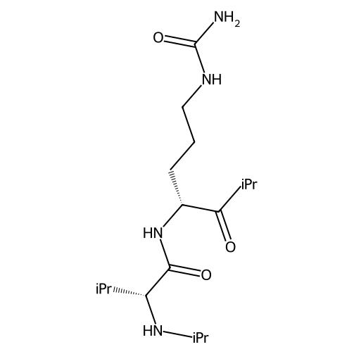 CC(C)N[C@@H](C(=O)N[C@H](CCCNC(N)=O)C(=O)C(C)C)C(C)C